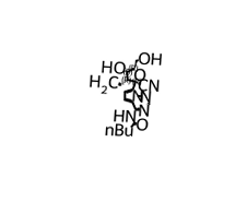 C=C[C@@H]1[C@H](O)[C@@H](CO)O[C@@]1(C#N)c1ccc2c(NC(=O)CCCC)ncnn12